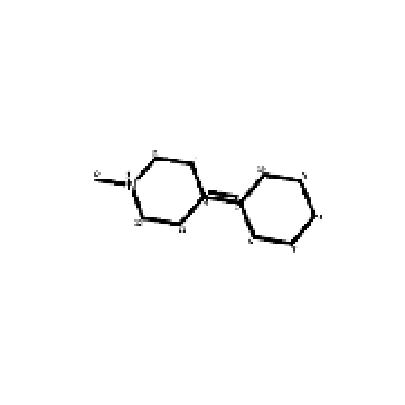 CN1CCC(=C2CCCCC2)CC1